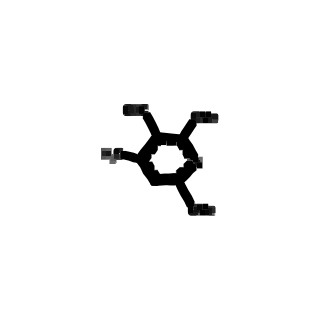 COc1cc(C)c(C=O)c(OC)n1